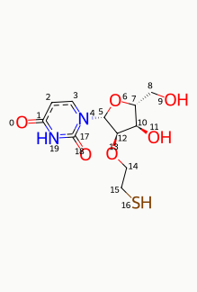 O=c1ccn([C@@H]2O[C@H](CO)[C@@H](O)[C@H]2OCCS)c(=O)[nH]1